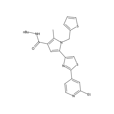 CCCCNC(=O)c1cc(-c2csc(-c3ccnc(CC)c3)n2)n(Cc2cccs2)c1C